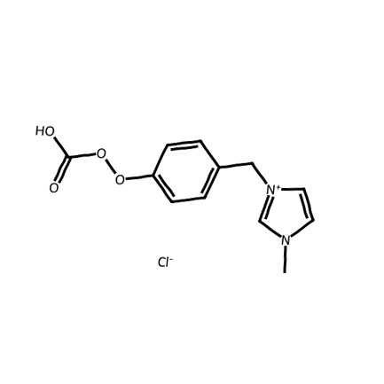 Cn1cc[n+](Cc2ccc(OOC(=O)O)cc2)c1.[Cl-]